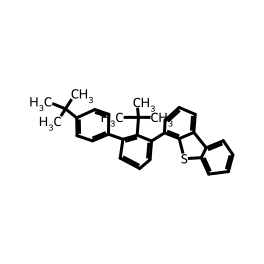 CC(C)(C)c1ccc(-c2cccc(-c3cccc4c3sc3ccccc34)c2C(C)(C)C)cc1